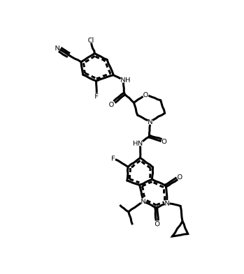 CC(C)n1c(=O)n(CC2CC2)c(=O)c2cc(NC(=O)N3CCOC(C(=O)Nc4cc(Cl)c(C#N)cc4F)C3)c(F)cc21